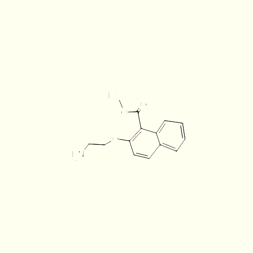 COC(=O)c1c(OCCN)ccc2ccccc12